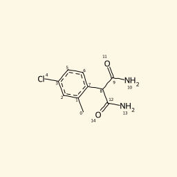 Cc1cc(Cl)ccc1C(C(N)=O)C(N)=O